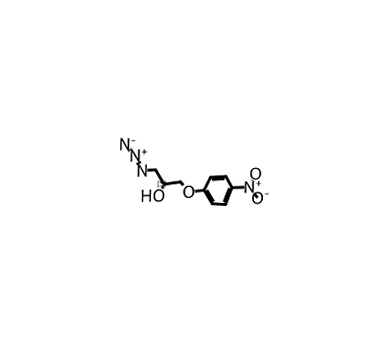 [N-]=[N+]=NC[C@H](O)COc1ccc([N+](=O)[O-])cc1